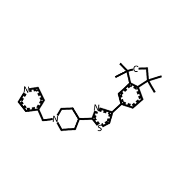 CC1(C)CCC(C)(C)c2cc(-c3csc(C4CCN(Cc5ccncc5)CC4)n3)ccc21